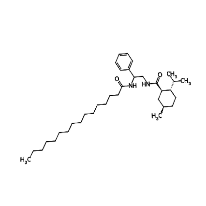 CCCCCCCCCCCCCCCC(=O)NC(CNC(=O)[C@@H]1C[C@H](C)CC[C@H]1C(C)C)c1ccccc1